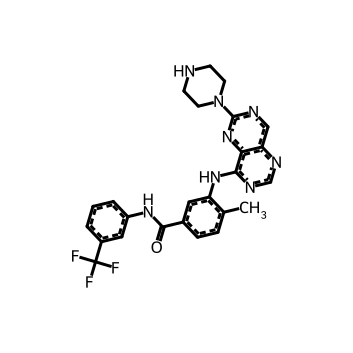 Cc1ccc(C(=O)Nc2cccc(C(F)(F)F)c2)cc1Nc1ncnc2cnc(N3CCNCC3)nc12